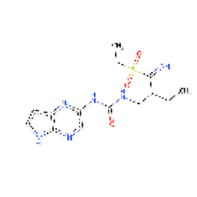 CCC(CNC(=O)Nc1cnc2[nH]ccc2n1)C(=N)S(=O)(=O)CC